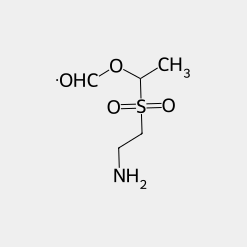 CC(O[C]=O)S(=O)(=O)CCN